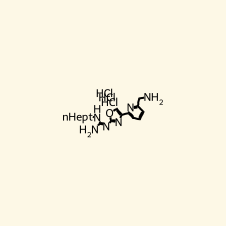 CCCCCCCNC(N)=Nc1nc(-c2cccc(CN)n2)co1.Cl.Cl.Cl